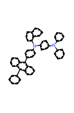 c1ccc(-c2c3ccccc3c(-c3ccc(N(c4ccc(N(c5ccccc5)c5ccccc5)cc4)c4cccc5ccccc45)cc3)c3ccccc23)cc1